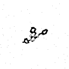 Cc1ccc(N2CS/C(=N/Cc3ccccc3)N(Cc3ccccc3)C2=O)cc1